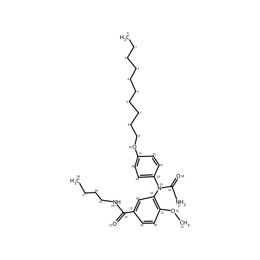 CCCCCCCCCCOc1ccc(N(C(N)=O)c2cc(C(=O)NCCCC)ccc2OC)cc1